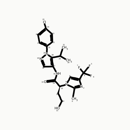 Cc1nc(C(F)(F)F)cn1[C@@H](CCO)C(=O)Nc1cnn(-c2ccc(Cl)cc2)c1C(C)C